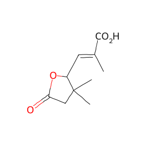 CC(=CC1OC(=O)CC1(C)C)C(=O)O